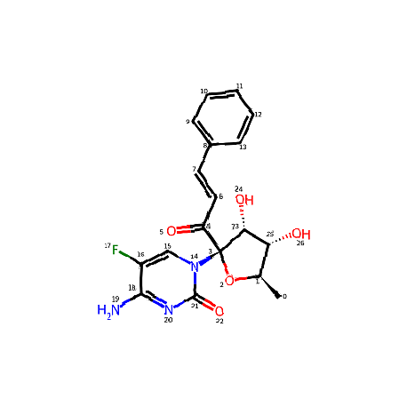 C[C@H]1O[C@@](C(=O)/C=C/c2ccccc2)(n2cc(F)c(N)nc2=O)[C@H](O)[C@@H]1O